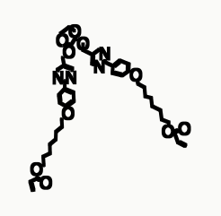 C=CC(=O)OCCCCCCCCOc1ccc(-c2ncc(COC3OCCOC3OCc3cnc(-c4ccc(OCCCCCCCCOC(=O)C=C)cc4)nc3)cn2)cc1